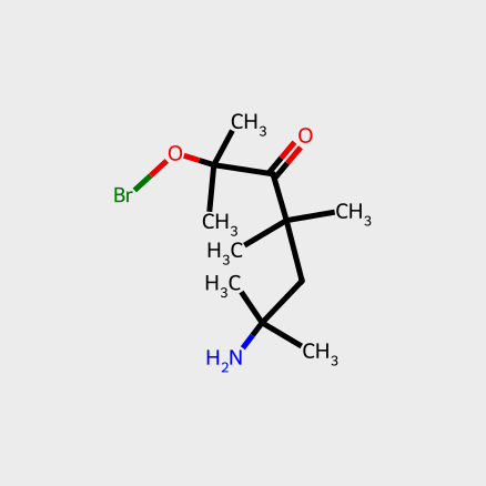 CC(C)(N)CC(C)(C)C(=O)C(C)(C)OBr